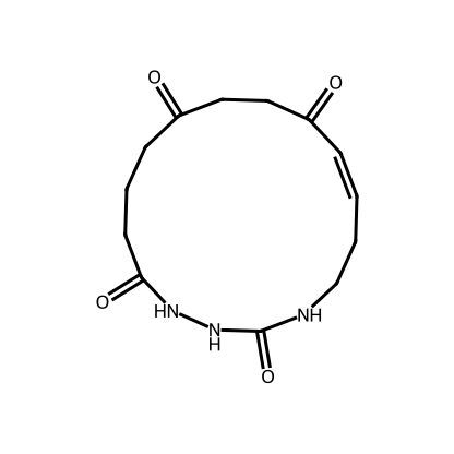 O=C1C=CCCNC(=O)NNC(=O)CCCC(=O)CC1